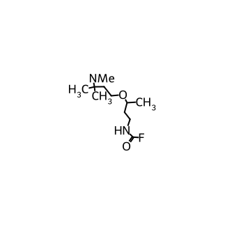 CNC(C)(C)CCOC(C)CCNC(=O)F